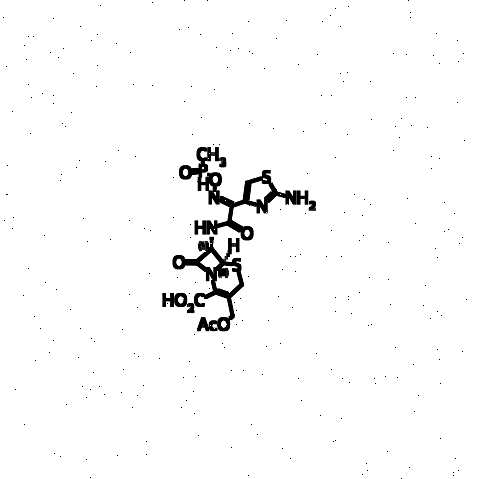 CC(=O)OCC1=C(C(=O)O)N2C(=O)[C@H](NC(=O)C(=NO[PH](C)=O)c3csc(N)n3)[C@H]2SC1